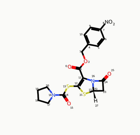 O=C(OCc1ccc([N+](=O)[O-])cc1)C1=C(SC(=O)N2CCCC2)S[C@H]2CC(=O)N12